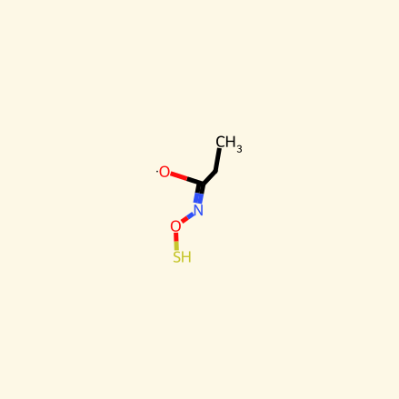 CCC([O])=NOS